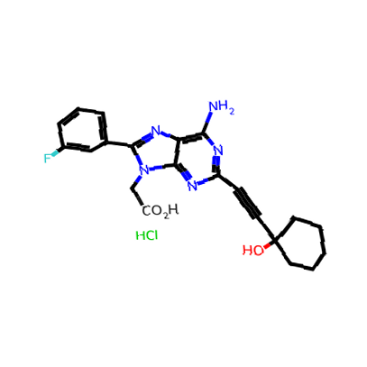 Cl.Nc1nc(C#CC2(O)CCCCC2)nc2c1nc(-c1cccc(F)c1)n2CC(=O)O